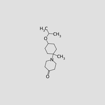 CC(C)OC1CCC(C)(N2CCC(=O)CC2)CC1